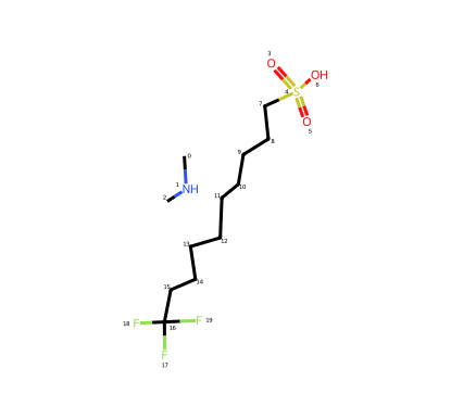 CNC.O=S(=O)(O)CCCCCCCCCC(F)(F)F